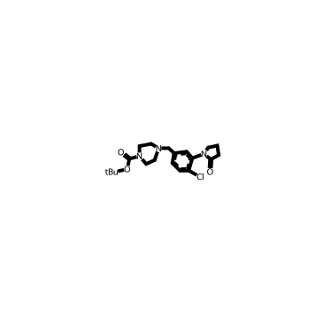 CC(C)(C)OC(=O)N1CCN(Cc2ccc(Cl)c(N3CCCC3=O)c2)CC1